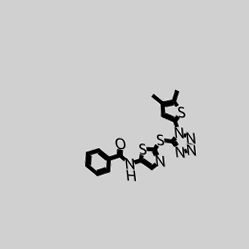 Cc1cc(-n2nnnc2Sc2ncc(NC(=O)c3ccccc3)s2)sc1C